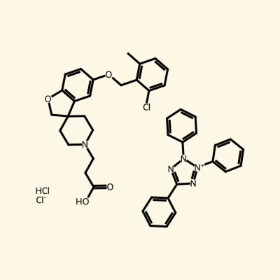 Cc1cccc(Cl)c1COc1ccc2c(c1)C1(CCN(CCC(=O)O)CC1)CO2.Cl.[Cl-].c1ccc(-c2nn(-c3ccccc3)[n+](-c3ccccc3)n2)cc1